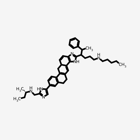 CCCCCNCCCC(c1nc2c([nH]1)C1=CC3=C(CC1C=C2)c1ccc(-c2cnc(CN[C@@H](C)CC)[nH]2)cc1CC3)C(C)c1ccccc1